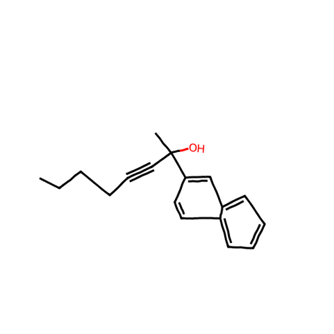 CCCCC#CC(C)(O)c1ccc2ccccc2c1